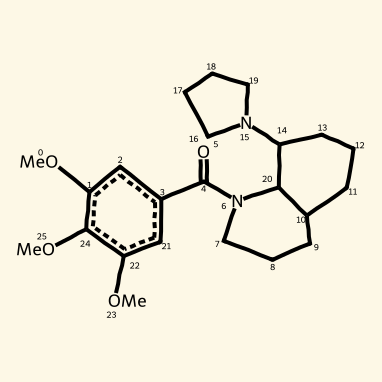 COc1cc(C(=O)N2CCCC3CCCC(N4CCCC4)C32)cc(OC)c1OC